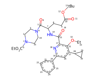 CCOC(=O)N1CCN(C(=O)C(CCC(=O)OC(C)(C)C)NC(=O)c2nc(-c3ccccc3)cc(C3CC3)c2OCC)CC1